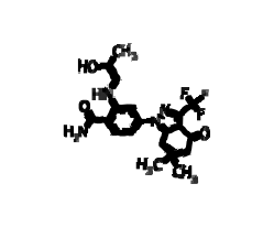 CC(O)CNc1cc(-n2nc(C(F)(F)F)c3c2CC(C)(C)CC3=O)ccc1C(N)=O